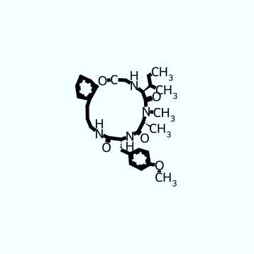 CCC(C)[C@@H]1NCCOc2ccccc2CCCNC(=O)[C@@H](Cc2ccc(OC)cc2)NC(=O)[C@@H](C)N(C)C1=O